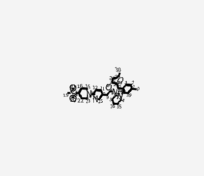 Cc1ccc(C(NC(=O)Cc2ccc(N3CCC(S(C)(=O)=O)CC3)nc2)c2ccc(C)o2)c(N2CCCCC2)c1